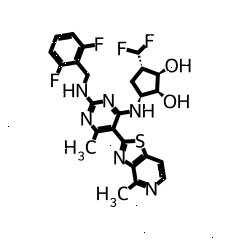 Cc1nc(NCc2c(F)cccc2F)nc(N[C@@H]2C[C@H](C(F)F)[C@@H](O)[C@H]2O)c1-c1nc2c(C)nccc2s1